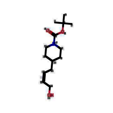 CC(C)(C)OC(=O)N1CCC(C/C=C\CO)CC1